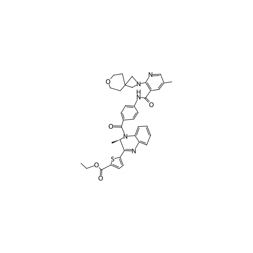 CCOC(=O)c1ccc(C2=Nc3ccccc3N(C(=O)c3ccc(NC(=O)c4cc(C)cnc4N4CC5(CCOCC5)C4)cc3)[C@@H]2C)s1